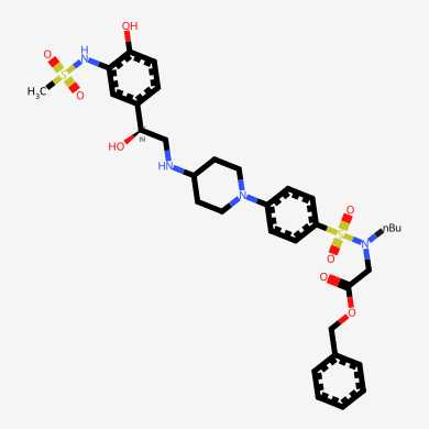 CCCCN(CC(=O)OCc1ccccc1)S(=O)(=O)c1ccc(N2CCC(NC[C@@H](O)c3ccc(O)c(NS(C)(=O)=O)c3)CC2)cc1